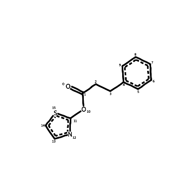 O=C(CCc1ccccc1)Oc1nccs1